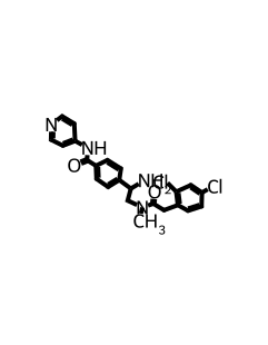 CN(CC(N)c1ccc(C(=O)Nc2ccncc2)cc1)C(=O)Cc1ccc(Cl)cc1Cl